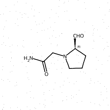 NC(=O)CN1CCC[C@@H]1C=O